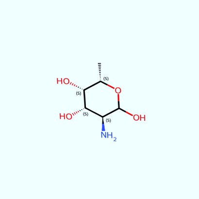 C[C@@H]1OC(O)[C@@H](N)[C@H](O)[C@@H]1O